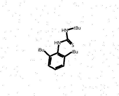 CCC(C)c1cccc(C(C)CC)c1NC(=S)NC(C)(C)C